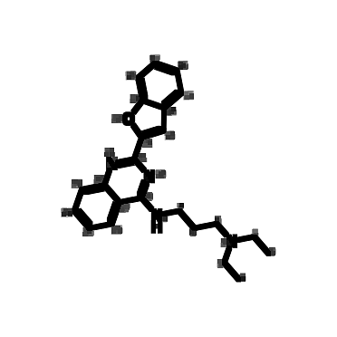 CCN(CC)CCCNc1nc(-c2cc3ccccc3o2)nc2ccccc12